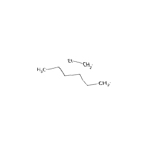 [CH2]CC.[CH2]CCCCC